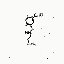 NCCNCc1cccc(C=O)c1